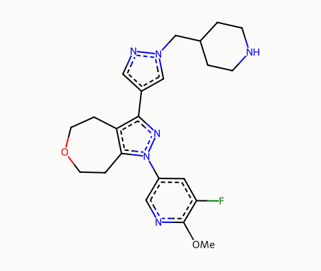 COc1ncc(-n2nc(-c3cnn(CC4CCNCC4)c3)c3c2CCOCC3)cc1F